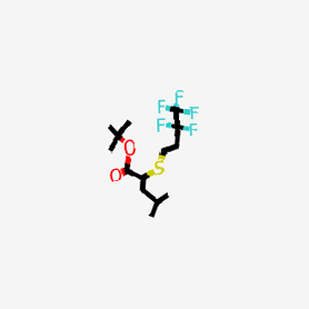 CC(C)CC(SCCC(F)(F)C(F)(F)F)C(=O)OC(C)(C)C